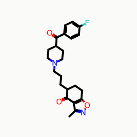 Cc1noc2c1C(=O)C(CCCN1CCC(C(=O)c3ccc(F)cc3)CC1)CC2